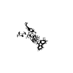 CC(C)(C)OC(=O)[C@H](Cc1ccc(C#N)s1)NC(=O)OCC1c2ccccc2-c2ccccc21